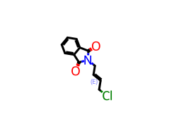 O=C1c2ccccc2C(=O)N1C/C=C/CCl